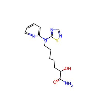 NC(=O)C(O)CCCCCN(c1ccccn1)c1ncns1